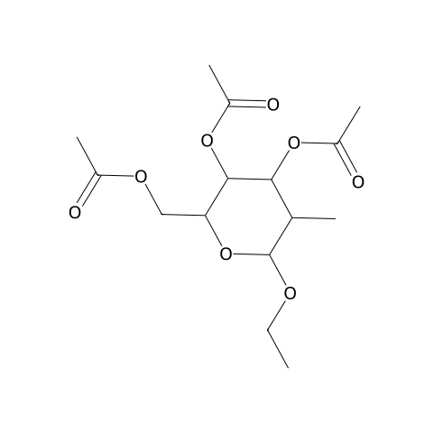 CCOC1OC(COC(C)=O)C(OC(C)=O)C(OC(C)=O)C1C